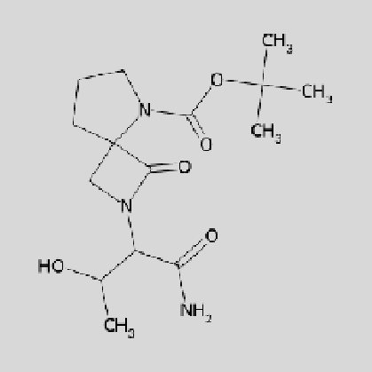 CC(O)C(C(N)=O)N1CC2(CCCN2C(=O)OC(C)(C)C)C1=O